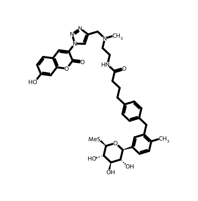 CS[C@H]1O[C@@H](c2ccc(C)c(Cc3ccc(CCCC(=O)NCCN(C)Cc4cn(-c5cc6ccc(O)cc6oc5=O)nn4)cc3)c2)[C@H](O)[C@@H](O)[C@@H]1O